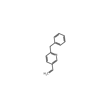 C=Cc1ccc(Cc2ccccc2)nc1